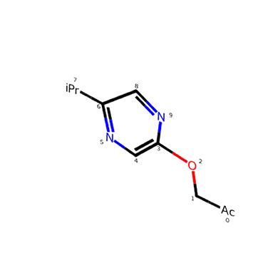 CC(=O)COc1cnc(C(C)C)cn1